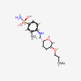 COCCO[C@H]1CC[C@H](CNc2ccc(S(N)(=O)=O)cc2[N+](=O)[O-])OC1